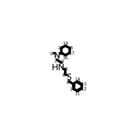 CN(CCNCCSCc1ccccc1)C1CCCCC1